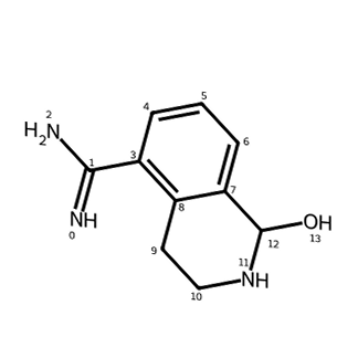 N=C(N)c1cccc2c1CCNC2O